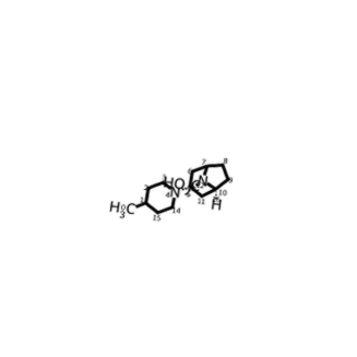 CC1CCN([C@@H]2CC3CC[C@@H](C2)N3C(=O)O)CC1